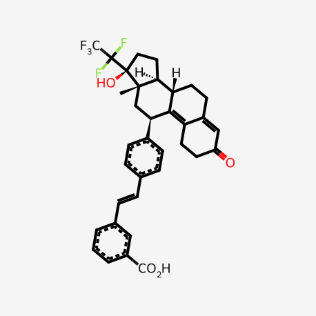 C[C@]12C[C@H](c3ccc(C=Cc4cccc(C(=O)O)c4)cc3)C3=C4CCC(=O)C=C4CC[C@H]3[C@@H]1CC[C@@]2(O)C(F)(F)C(F)(F)F